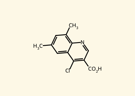 Cc1cc(C)c2ncc(C(=O)O)c(Cl)c2c1